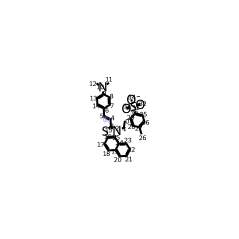 CC[n+]1c(/C=C/c2ccc(N(C)C)cc2)sc2ccc3ccccc3c21.Cc1ccc(S(=O)(=O)[O-])cc1